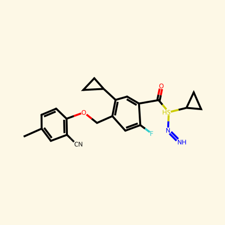 Cc1ccc(OCc2cc(F)c(C(=O)[SH](N=N)C3CC3)cc2C2CC2)c(C#N)c1